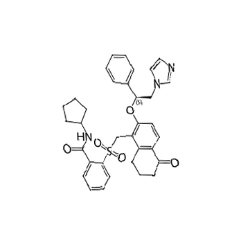 O=C(NC1CCCC1)c1ccccc1S(=O)(=O)Cc1c(O[C@H](Cn2ccnc2)c2ccccc2)ccc2c1CCCC2=O